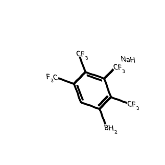 Bc1cc(C(F)(F)F)c(C(F)(F)F)c(C(F)(F)F)c1C(F)(F)F.[NaH]